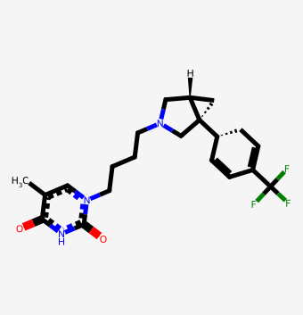 Cc1cn(CCCCN2C[C@@H]3C[C@]3([C@H]3C=CC(C(F)(F)F)=CC3)C2)c(=O)[nH]c1=O